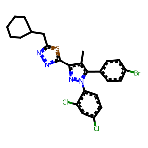 Cc1c(-c2nnc(CC3CCCCC3)s2)nn(-c2ccc(Cl)cc2Cl)c1-c1ccc(Br)cc1